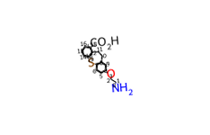 NCCOc1ccc2c(c1)CCc1c(cccc1C(=O)O)S2